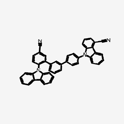 N#Cc1ccc(-n2c3ccccc3c3ccccc32)c(-c2cccc(-c3ccc(-n4c5ccccc5c5c(C#N)cccc54)cc3)c2)c1